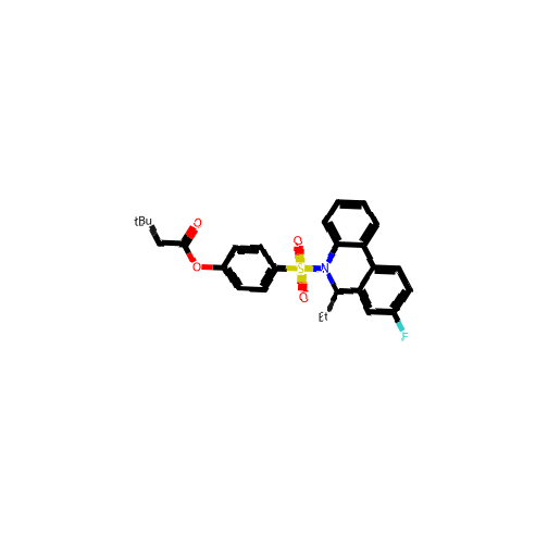 CCC1c2cc(F)ccc2-c2ccccc2N1S(=O)(=O)c1ccc(OC(=O)CC(C)(C)C)cc1